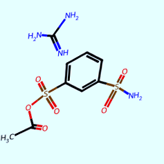 CC(=O)OS(=O)(=O)c1cccc(S(N)(=O)=O)c1.N=C(N)N